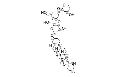 C[C@H]1CC[C@]2(NC1)O[C@H]1C[C@H]3[C@@H]4CC[C@H]5C[C@@H](O[C@H]6C[C@@H](O)[C@@H](O[C@H]7C[C@@H](O[C@H]8C[C@@H](O)CCO8)C[C@@H](CO)O7)[C@@H](CO)O6)CC[C@]5(C)[C@H]4CC[C@]3(C)[C@H]1[C@@H]2C